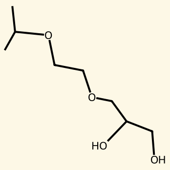 CC(C)OCCOCC(O)CO